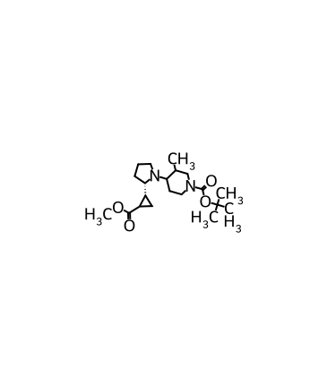 COC(=O)C1CC1[C@@H]1CCCN1C1CCN(C(=O)OC(C)(C)C)CC1C